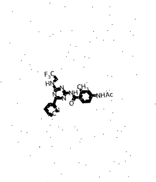 CC(=O)Nc1ccc(C(=O)Nc2nc(NCC(F)(F)F)nc(-c3ccccn3)n2)c(C)c1